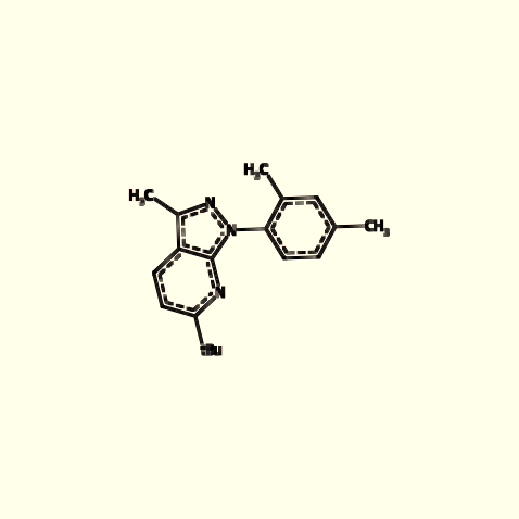 Cc1ccc(-n2nc(C)c3ccc(C(C)(C)C)nc32)c(C)c1